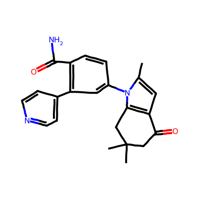 Cc1cc2c(n1-c1ccc(C(N)=O)c(-c3ccncc3)c1)CC(C)(C)CC2=O